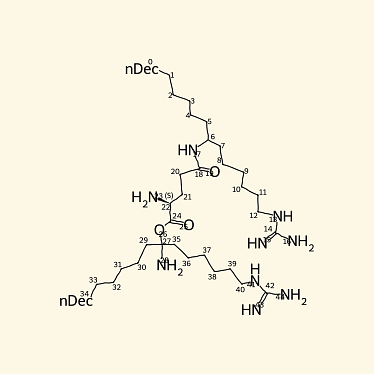 CCCCCCCCCCCCCCCC(CCCCCCNC(=N)N)NC(=O)CC[C@H](N)C(=O)OC(N)(CCCCCCCCCCCCCCC)CCCCCCNC(=N)N